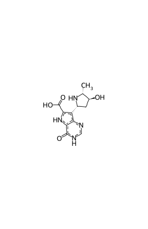 C[C@H]1N[C@@H](c2c(C(=O)O)[nH]c3c(=O)[nH]cnc23)C[C@@H]1O